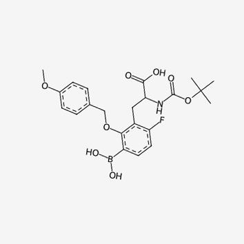 COc1ccc(COc2c(B(O)O)ccc(F)c2CC(NC(=O)OC(C)(C)C)C(=O)O)cc1